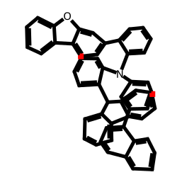 c1cc(-c2cccc3ccccc23)cc(N(c2ccccc2-c2ccc3c(c2)oc2ccccc23)c2ccccc2C2c3ccccc3-c3ccccc32)c1